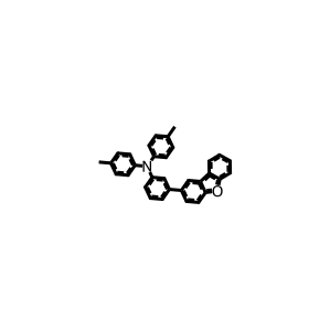 Cc1ccc(N(c2ccc(C)cc2)c2cccc(-c3ccc4oc5ccccc5c4c3)c2)cc1